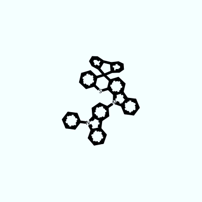 c1ccc(-n2c3ccccc3c3cc(-n4c5ccccc5c5ccc6c(c54)Sc4ccccc4C64c5ccccc5-c5ccccc54)ccc32)cc1